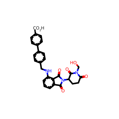 O=C(O)c1ccc(-c2ccc(CNc3cccc4c3C(=O)N(C3CCC(=O)N(CO)C3=O)C4=O)cc2)cc1